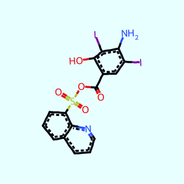 Nc1c(I)cc(C(=O)OS(=O)(=O)c2cccc3cccnc23)c(O)c1I